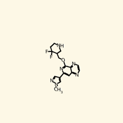 Cn1cc(-c2cc3nccnc3c(OCC3CNCCC3(F)F)n2)cn1